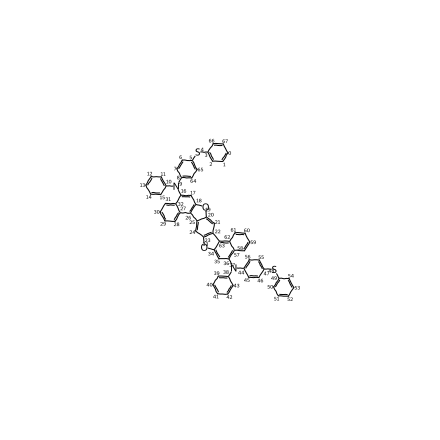 c1ccc(Sc2ccc(N(c3ccccc3)c3cc4oc5cc6c(cc5c4c4ccccc34)oc3cc(N(c4ccccc4)c4ccc(Sc5ccccc5)cc4)c4ccccc4c36)cc2)cc1